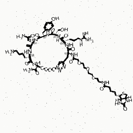 C=C1N[C@@H](CCCCN)C(=O)N[C@H](C(N)=O)CCCCn2cc(nn2)C[C@H](NC(=O)COCCOCCOCCNC(=O)CCCC[C@@H]2SC[C@@H]3NC(=O)N[C@@H]32)C(=O)N[C@@H](CCCNC(=N)N)C(=O)N[C@@H](CO)C(=O)N[C@@H](Cc2ccc(O)cc2)C(=O)N[C@H]1CC(N)=O